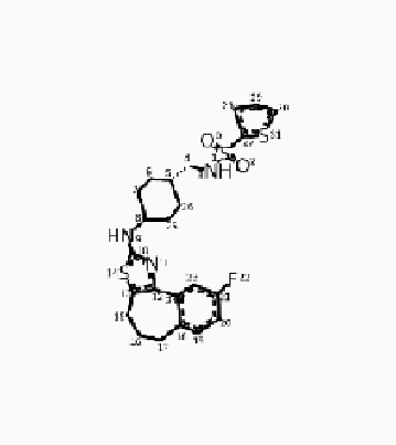 O=S(=O)(NC[C@H]1CC[C@H](Nc2nc3c(s2)CCCc2ccc(F)cc2-3)CC1)c1cccs1